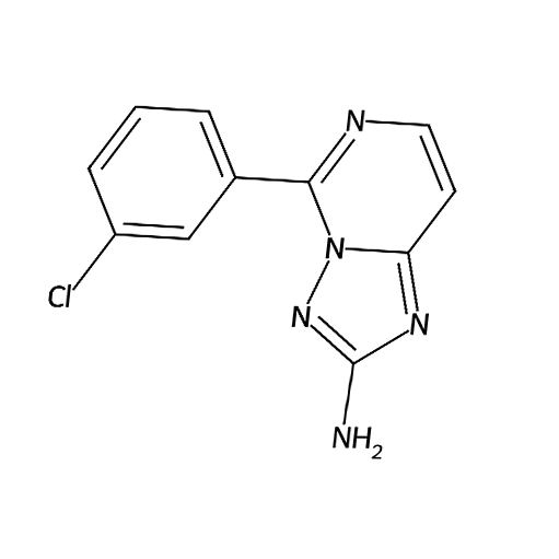 Nc1nc2ccnc(-c3cccc(Cl)c3)n2n1